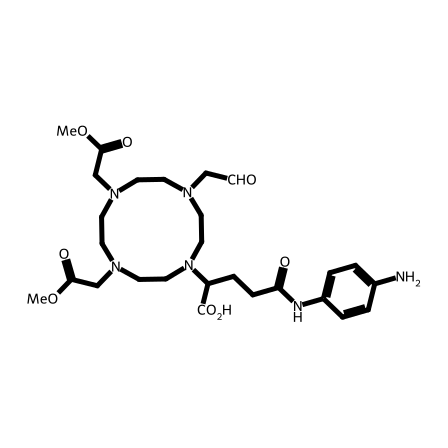 COC(=O)CN1CCN(CC=O)CCN(C(CCC(=O)Nc2ccc(N)cc2)C(=O)O)CCN(CC(=O)OC)CC1